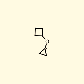 C1CC(O[C]2CC2)C1